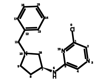 Clc1cncc(N[C@@H]2CCN(Cc3ccccc3)C2)n1